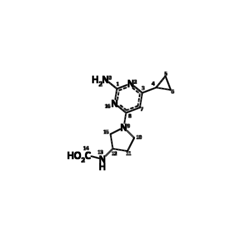 Nc1nc(C2CC2)cc(N2CCC(NC(=O)O)C2)n1